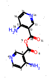 Nc1ccncc1C(=O)OC(=O)c1cnccc1N